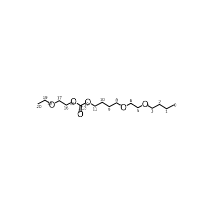 CCCCOCCOCCCCOC(=O)OCCOCC